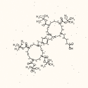 CC(C)(C)OC(=O)N1CCCN(C(=O)OC(C)(C)C)CCN(CCCCC(=O)O)CCC(Cc2ccc(CN3CCCN(C(=O)OC(C)(C)C)CCN(C(=O)OC(C)(C)C)CCCN(C(=O)OC(C)(C)C)CC3)cc2)NCC1